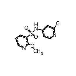 COc1ncccc1S(=O)(=O)Nc1ccnc(Cl)c1